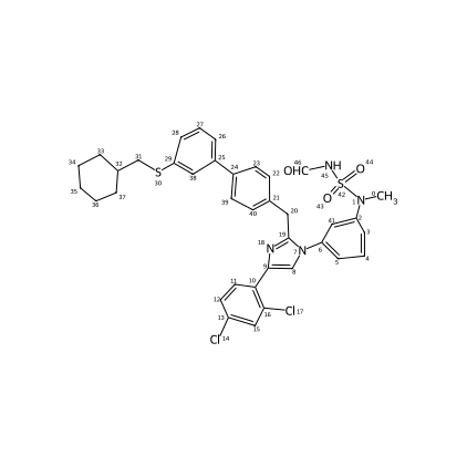 CN(c1cccc(-n2cc(-c3ccc(Cl)cc3Cl)nc2Cc2ccc(-c3cccc(SCC4CCCCC4)c3)cc2)c1)S(=O)(=O)NC=O